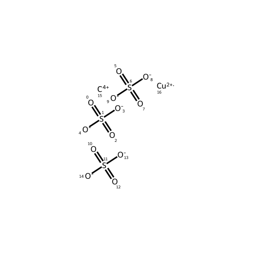 O=S(=O)([O-])[O-].O=S(=O)([O-])[O-].O=S(=O)([O-])[O-].[C+4].[Cu+2]